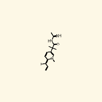 C=C/C(I)=C1/C=CC(C(C)(C)C(=O)NC(C)=N)=CN1C